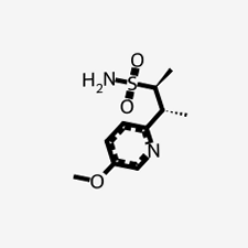 COc1ccc([C@@H](C)[C@H](C)S(N)(=O)=O)nc1